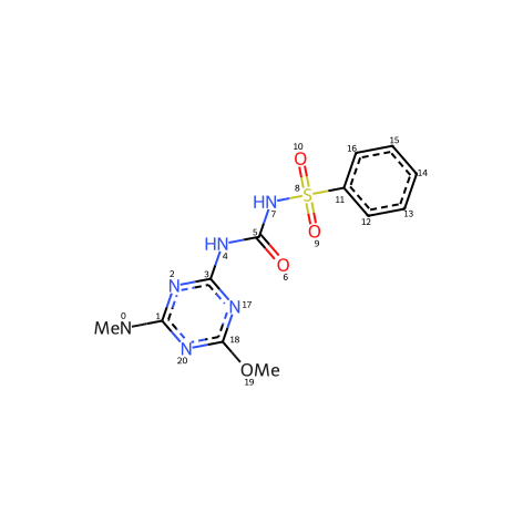 CNc1nc(NC(=O)NS(=O)(=O)c2ccccc2)nc(OC)n1